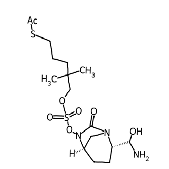 CC(=O)SCCCC(C)(C)COS(=O)(=O)ON1C(=O)N2C[C@H]1CC[C@H]2C(N)O